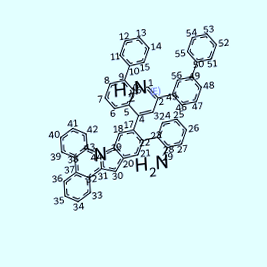 N/C=C(\C=C(c1cccc(-c2ccccc2)c1)c1cc2c(cc1-c1ccccc1N)cc1c3ccccc3c3ccccc3n21)c1cccc(-c2ccccc2)c1